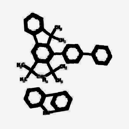 CC(C)(C)c1cc2c(c(-c3ccc(-c4ccccc4)cc3)c1C(C)(C)C)C(C)(C)c1ccccc1-2.c1cc2cc(c1)-c1ccccc1N2